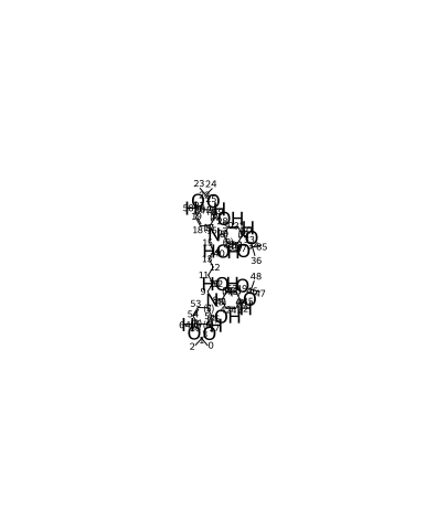 CC1(C)O[C@H]2[C@H](O)[C@@H](N(CCCCCCCN([C@H]3C=C[C@H]4OC(C)(C)O[C@H]4[C@@H]3O)[C@H]3C=C[C@H]4OC(C)(C)O[C@H]4[C@@H]3O)[C@H]3C=C[C@H]4OC(C)(C)O[C@H]4[C@@H]3O)C=C[C@H]2O1